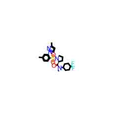 Cc1ccc(S(=O)(=O)N2CCC[C@H]2C(=O)N(C)C2CCC(F)(F)CC2)c(-n2ccc(C)n2)c1